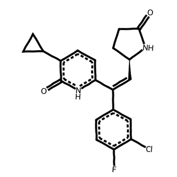 O=C1CC[C@H](/C=C(/c2ccc(F)c(Cl)c2)c2ccc(C3CC3)c(=O)[nH]2)N1